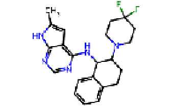 Cc1cc2c(NC3c4ccccc4CCC3N3CCC(F)(F)CC3)ncnc2[nH]1